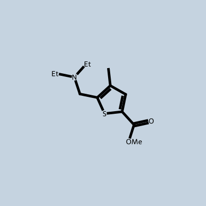 CCN(CC)Cc1sc(C(=O)OC)cc1C